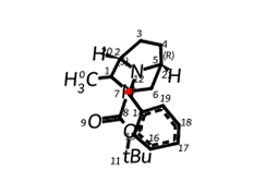 CC1[C@@H]2CC[C@H](CN1C(=O)OC(C)(C)C)N2Cc1ccccc1